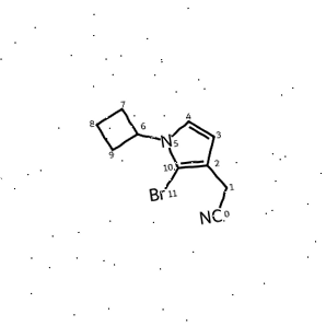 N#CCc1ccn(C2CCC2)c1Br